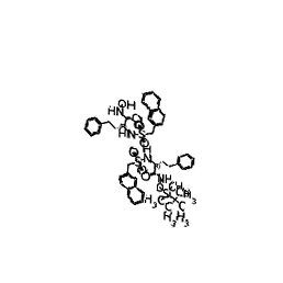 CC(C)(C)[Si](C)(C)ONC(=O)[C@@H](CCc1ccccc1)NS(=O)(=O)Cc1ccc2ccccc2c1.O=C(NO)[C@@H](CCc1ccccc1)NS(=O)(=O)Cc1ccc2ccccc2c1